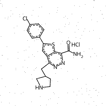 Cl.NC(=O)c1nnc(CC2CCNC2)c2cc(-c3ccc(Cl)cc3)sc12